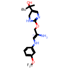 CCC(C)C(C)(O)C1=CN=C(OC/C(N)=C/Nc2cccc(OC(F)(F)F)c2)NC1